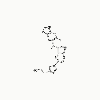 CC(c1cc2cn[nH]c2cc1F)c1cnc2ccc(-c3cnn(CCO)c3)nn12